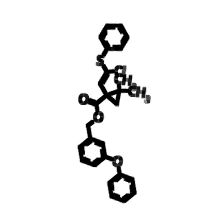 CC1(C)CC1(C=C(Cl)Sc1ccccc1)C(=O)OCc1cccc(Oc2ccccc2)c1